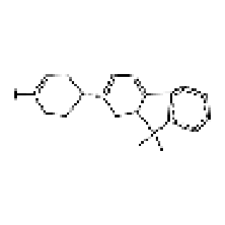 CC1(C)c2ccccc2C2=CC=C([C@H]3CC=C(I)CC3)CC21